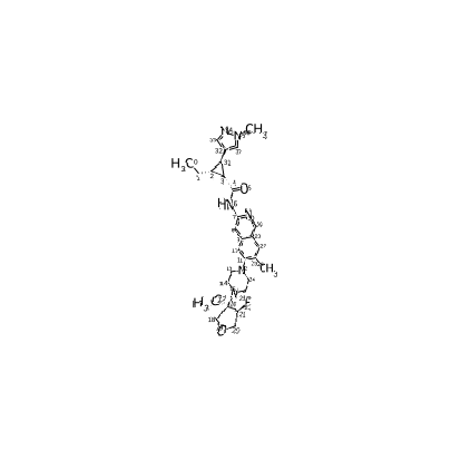 CC[C@H]1[C@@H](C(=O)Nc2cc3cc(N4CCN([C@]5(C)COC[C@@H]5F)CC4)c(C)cc3cn2)[C@@H]1c1cnn(C)c1